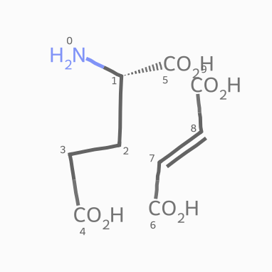 N[C@@H](CCC(=O)O)C(=O)O.O=C(O)C=CC(=O)O